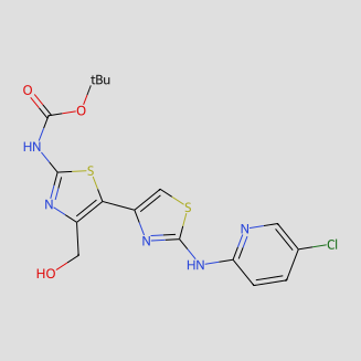 CC(C)(C)OC(=O)Nc1nc(CO)c(-c2csc(Nc3ccc(Cl)cn3)n2)s1